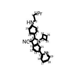 CC(C)CCNc1ccc(C2C(C#N)c3ccc(-c4ccccn4)cc3N2C2CCC2)cc1